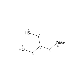 COCC(CO)CS